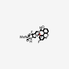 CNS(=O)(=O)N[C@@H]1Cn2c(cn(-c3noc4ccc(F)c(-c5c(F)cc(F)cc5F)c34)c2=O)C1(F)F